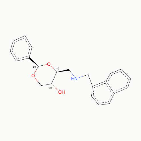 O[C@@H]1CO[C@@H](c2ccccc2)O[C@H]1CNCc1cccc2ccccc12